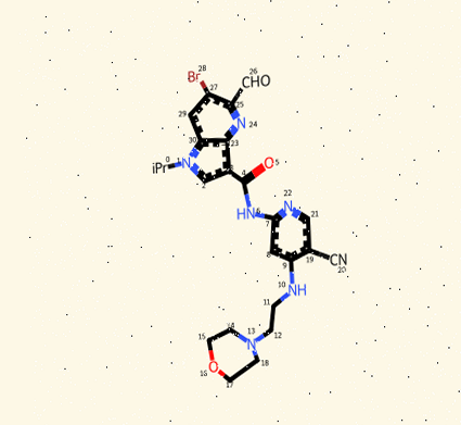 CC(C)n1cc(C(=O)Nc2cc(NCCN3CCOCC3)c(C#N)cn2)c2nc(C=O)c(Br)cc21